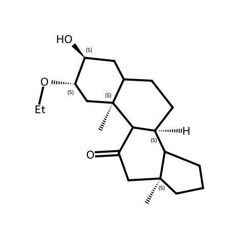 CCO[C@H]1C[C@@]2(C)C(CC[C@H]3C4CCC[C@@]4(C)CC(=O)C32)C[C@@H]1O